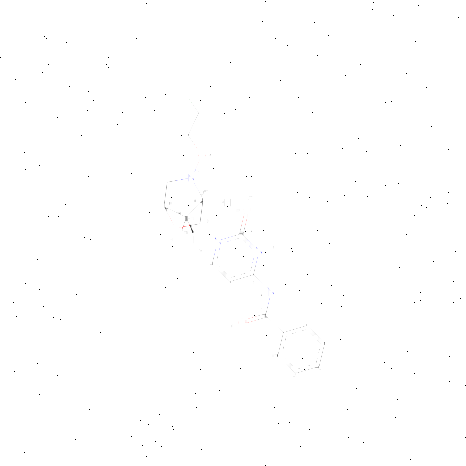 CC[C@@]12CN(OCCF)[C@@H]([C@H](n3ccc(NC(=O)c4ccccc4)nc3=O)O1)[C@@H]2C